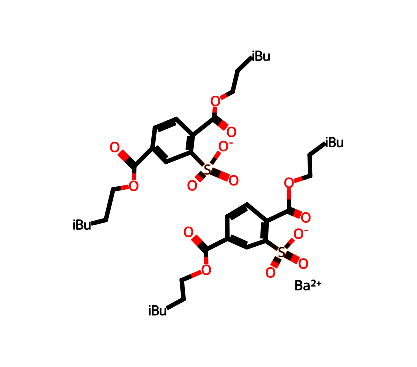 CCC(C)CCOC(=O)c1ccc(C(=O)OCCC(C)CC)c(S(=O)(=O)[O-])c1.CCC(C)CCOC(=O)c1ccc(C(=O)OCCC(C)CC)c(S(=O)(=O)[O-])c1.[Ba+2]